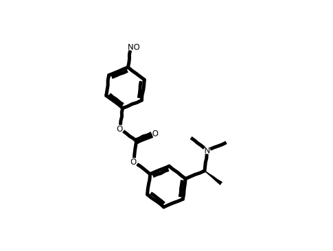 C[C@@H](c1cccc(OC(=O)Oc2ccc(N=O)cc2)c1)N(C)C